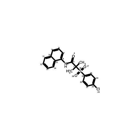 CC(C)(C(=O)Nc1cccc2ccccc12)S(=O)(=O)c1ccc(Cl)cc1